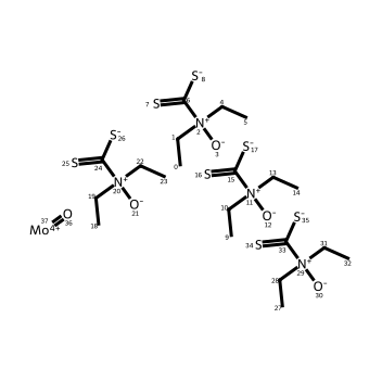 CC[N+]([O-])(CC)C(=S)[S-].CC[N+]([O-])(CC)C(=S)[S-].CC[N+]([O-])(CC)C(=S)[S-].CC[N+]([O-])(CC)C(=S)[S-].[O]=[Mo+4]